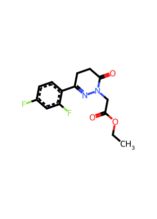 CCOC(=O)CN1N=C(c2ccc(F)cc2F)CCC1=O